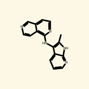 Cc1[nH]c2ncccc2c1Nc1nccc2cnccc12